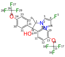 CC(n1cc(F)cn1)C(O)(c1ccc(OC(F)(F)F)cc1)c1ccc(OC(F)(F)F)cc1